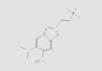 CN(C)c1cc2nn(CCC(C)(C)O)cc2cc1[N+](=O)[O-]